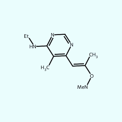 CCNc1ncnc(/C=C(\C)ONC)c1C